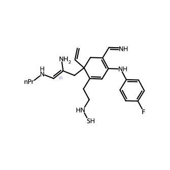 C=CC1(C/C(N)=C/NCCC)CC(C=N)=C(Nc2ccc(F)cc2)C=C1CCNS